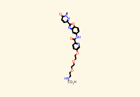 Cn1nc(-c2nc3cc(NC(=O)c4ccc(OCCOCCOCCNC(=O)O)cn4)ccc3o2)ccc1=O